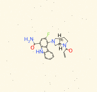 C=CC(=O)N1CC[C@@H]2CN(c3c(F)cc(C(N)=O)c4[nH]c5ccccc5c34)C[C@@H]21